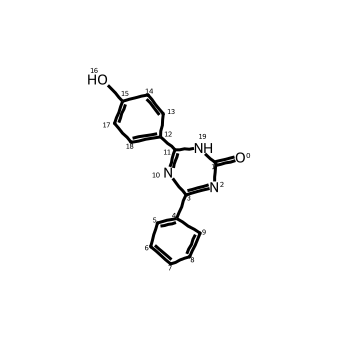 O=c1nc(-c2ccccc2)nc(-c2ccc(O)cc2)[nH]1